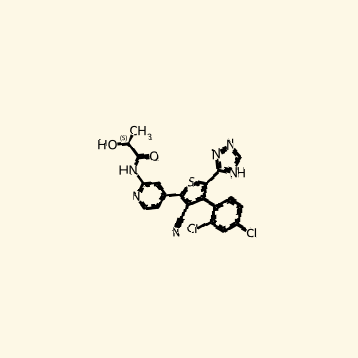 C[C@H](O)C(=O)Nc1cc(-c2sc(-c3nnc[nH]3)c(-c3ccc(Cl)cc3Cl)c2C#N)ccn1